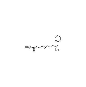 CCCN(CCCOCCCNC(=O)O)Cc1ccccc1